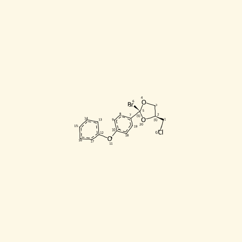 ClC[C@@H]1CO[C@@](Br)(c2ccc(Oc3ccccc3)cc2)O1